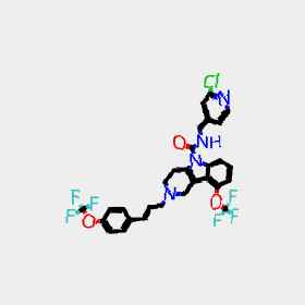 O=C(NCc1ccnc(Cl)c1)n1c2c(c3c(OC(F)(F)F)cccc31)CN(C/C=C/c1ccc(OC(F)(F)F)cc1)CC2